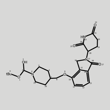 CC(C)(C)OC(O)N1CCC(COc2cccc3c2CN(C2CCC(=O)NC2=O)C3=O)CC1